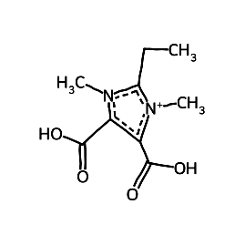 CCc1n(C)c(C(=O)O)c(C(=O)O)[n+]1C